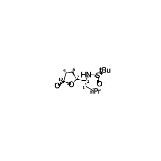 CC(C)C[C@@H](N[S+]([O-])C(C)(C)C)[C@@H]1CCC(=O)O1